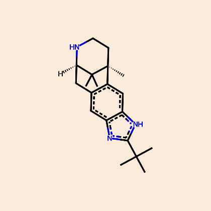 CC(C)(C)c1nc2cc3c(cc2[nH]1)[C@]1(C)CCN[C@H](C3)C1(C)C